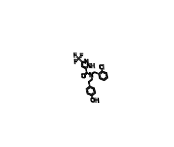 O=C(c1cc(C(F)(F)F)n[nH]1)N(CCc1ccc(O)cc1)Cc1ccccc1Cl